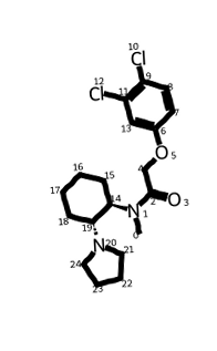 CN(C(=O)COc1ccc(Cl)c(Cl)c1)[C@@H]1CCCC[C@H]1N1CCCC1